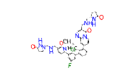 COc1nc(-c2cc(F)cc(-c3cccc(-c4ccn5c(=O)c(CNC[C@@H]6CCC(=O)N6)cnc5c4)c3C)c2Cl)ccc1CNCN1CCC(=O)N1